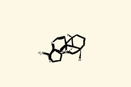 CO[C@@]1(c2ccnc(C(N)=O)c2)[C@@H]2CCC[C@H]1CN([C@H]1CCOC1)C2